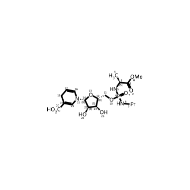 COC(=O)[C@H](C)NP(=O)(NC(C)C)OC[C@H]1O[C@@H](N2C=CCC(C(=O)O)=C2)[C@H](O)[C@@H]1O